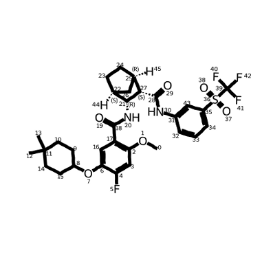 COc1cc(F)c(OC2CCC(C)(C)CC2)cc1C(=O)N[C@@H]1[C@H]2CC[C@H](C2)[C@@H]1C(=O)Nc1cccc(S(=O)(=O)C(F)(F)F)c1